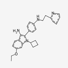 CCOc1ccc2c(N)c(-c3ccc(NCCc4ccccn4)cc3)n(C3CCC3)c2c1